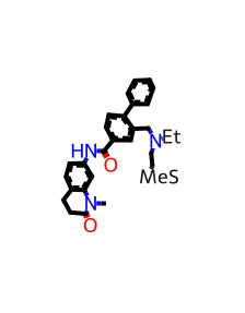 CCN(CCSC)Cc1cc(C(=O)Nc2ccc3c(c2)N(C)C(=O)CC3)ccc1-c1ccccc1